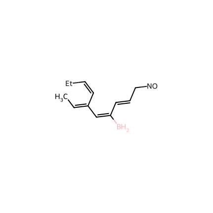 BC(=C/C(/C=C\CC)=C/C)/C=C/CN=O